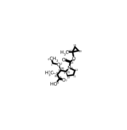 CCO[C@H]([C@@H](C)C(=O)O)[C@@H]1CCCN1C(=O)OC1(C)CC1